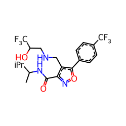 CC(C)C(C)NC(=O)c1noc(-c2ccc(C(F)(F)F)cc2)c1CNCC(O)C(F)(F)F